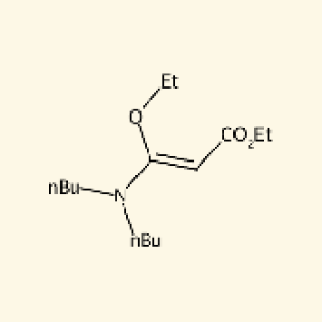 CCCCN(CCCC)C(=CC(=O)OCC)OCC